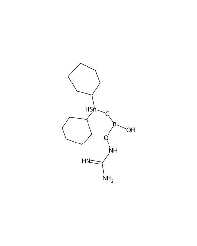 N=C(N)NOB(O)[O][SnH]([CH]1CCCCC1)[CH]1CCCCC1